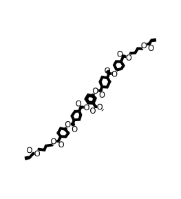 C=CC(=O)OCCCCOC(=O)C1CCC(OC(=O)C2CCC(C(=O)Oc3ccc(OC(=O)C4CCC(C(=O)OC5CCC(C(=O)OCCCCOC(=O)C=C)CC5)CC4)c(C(=O)OC)c3)CC2)CC1